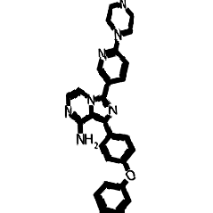 Nc1nccn2c(-c3ccc(N4CCNCC4)nc3)nc(-c3ccc(Oc4ccccc4)cc3)c12